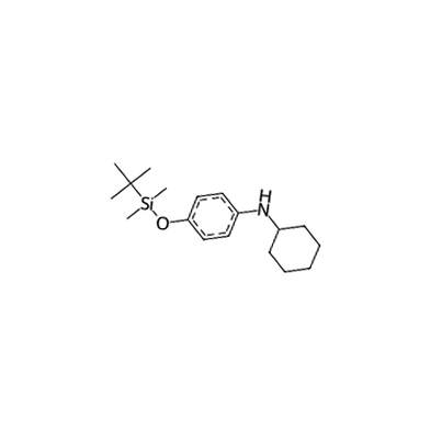 CC(C)(C)[Si](C)(C)Oc1ccc(NC2CCCCC2)cc1